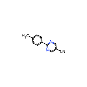 Cc1ccc(-c2ncc(C#N)cn2)cc1